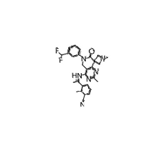 Cc1nc(N[C@H](C)c2cccc(C#N)c2C)c2c(n1)C1(CN(C)C1)C(=O)N(c1cccc(C(F)F)c1)C2